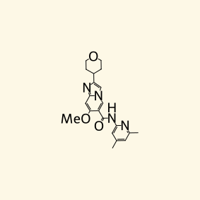 COc1cc2nc(C3CCOCC3)cn2cc1C(=O)Nc1cc(C)cc(C)n1